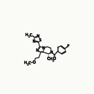 COCCc1nc(-c2nc(C)ns2)n2c1[C@@H](C)N(C(=O)c1ccc(F)cc1)CC2